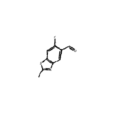 Cc1nc2cc(C=O)c(F)cc2s1